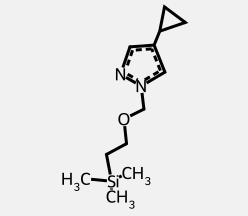 C[Si](C)(C)CCOCn1cc(C2CC2)cn1